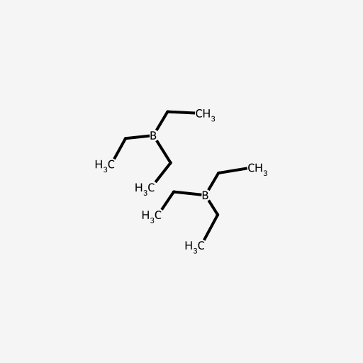 CCB(CC)CC.CCB(CC)CC